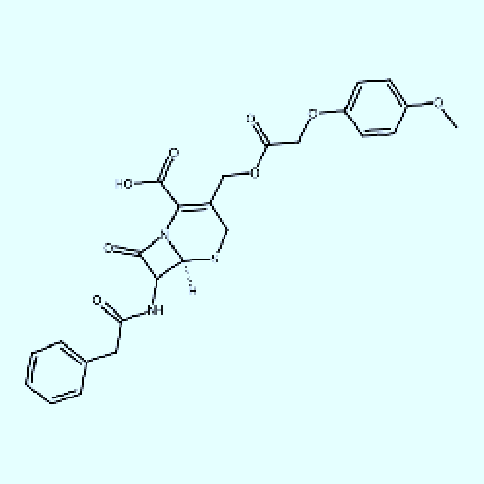 COc1ccc(OCC(=O)OCC2=C(C(=O)O)N3C(=O)C(NC(=O)Cc4ccccc4)[C@@H]3SC2)cc1